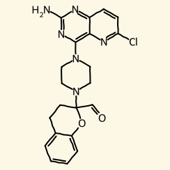 Nc1nc(N2CCN(C3(C=O)CCc4ccccc4O3)CC2)c2nc(Cl)ccc2n1